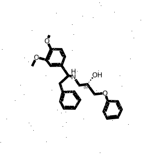 COc1ccc(C(Cc2ccccc2)NC[C@H](O)COc2ccccc2)cc1OC